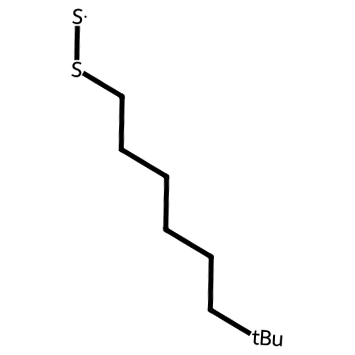 CC(C)(C)CCCCCCS[S]